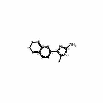 Cc1sc(N)nc1-c1ccc2c(c1)=CCCC=2